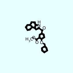 COC(=O)c1cc(C(=O)c2cc3c(ccc4ccccc43)[nH]2)ccc1OCc1ccccc1